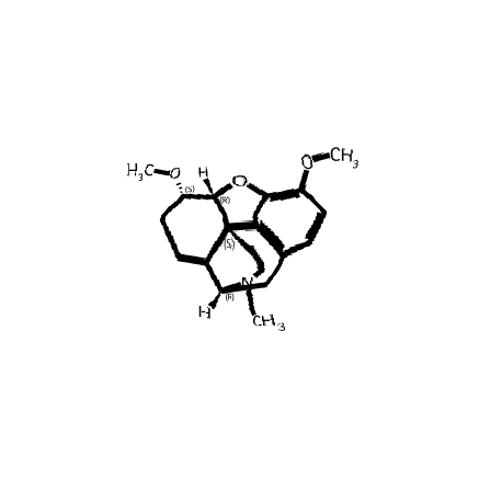 COc1ccc2c3c1O[C@H]1[C@@H](OC)CCC4[C@@H](C2)N(C)CC[C@@]341